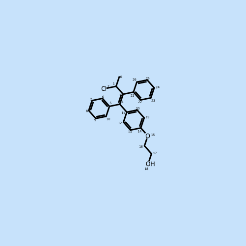 CC(Cl)C(=C(c1ccccc1)c1ccc(OCCO)cc1)c1ccccc1